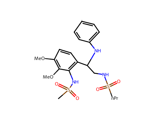 CCCS(=O)(=O)NCC(Nc1cc[c]cc1)c1ccc(OC)c(OC)c1NS(C)(=O)=O